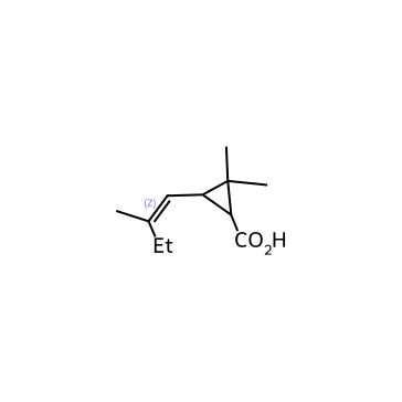 CC/C(C)=C\C1C(C(=O)O)C1(C)C